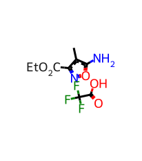 CCOC(=O)c1noc(N)c1C.O=C(O)C(F)(F)F